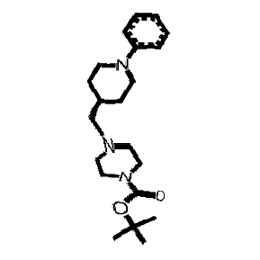 CC(C)(C)OC(=O)N1CCN(CC2CCN(c3ccccc3)CC2)CC1